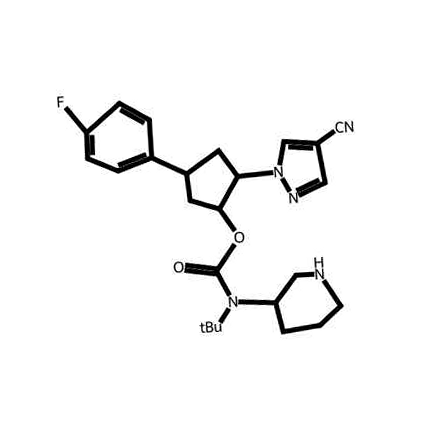 CC(C)(C)N(C(=O)OC1CC(c2ccc(F)cc2)CC1n1cc(C#N)cn1)C1CCCNC1